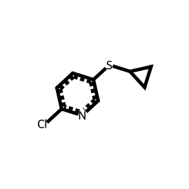 Clc1ccc(SC2CC2)cn1